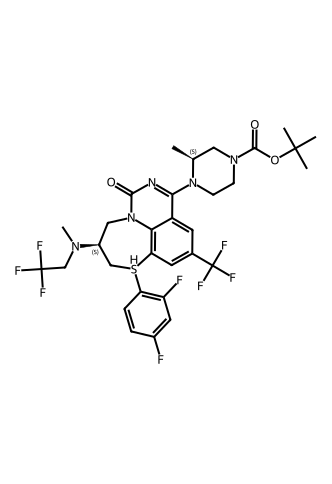 C[C@H]1CN(C(=O)OC(C)(C)C)CCN1c1nc(=O)n2c3c(cc(C(F)(F)F)cc13)[SH](c1ccc(F)cc1F)C[C@@H](N(C)CC(F)(F)F)C2